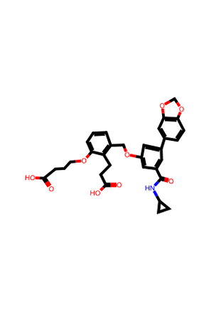 O=C(O)CCCOc1cccc(COc2cc(C(=O)NC3CC3)cc(-c3ccc4c(c3)OCO4)c2)c1CCC(=O)O